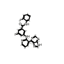 O=C(Nc1ccccc1F)c1cc(F)cc(Nc2ncccc2-c2ncnc3[nH]cnc23)c1